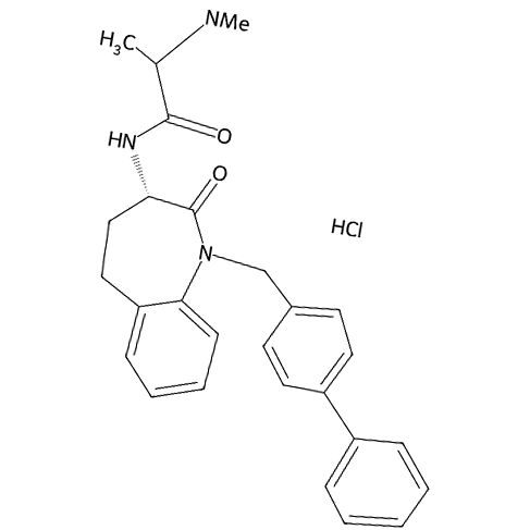 CNC(C)C(=O)N[C@H]1CCc2ccccc2N(Cc2ccc(-c3ccccc3)cc2)C1=O.Cl